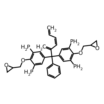 C=C/C=C\C(=C)C(c1ccccc1)(c1cc(P)c(OCC2CO2)c(P)c1)c1cc(P)c(OCC2CO2)c(P)c1